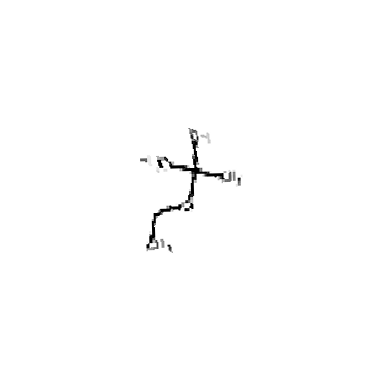 [CH2]C(C)(O)OCC